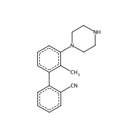 Cc1c(-c2ccccc2C#N)cccc1N1CCNCC1